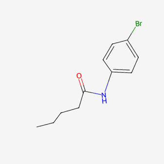 CCCCC(=O)Nc1ccc(Br)cc1